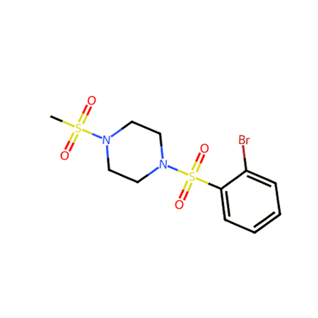 CS(=O)(=O)N1CCN(S(=O)(=O)c2ccccc2Br)CC1